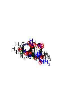 C=C(CCCCC(=O)ON1C(=O)CCC1=O)N[C@H](C(=O)N[C@@H](CCCNC(N)=O)C(=O)Nc1cc(Cl)c(C(=O)N(C)[C@@H](C)C(=O)O[C@H]2CC(=O)N(C)c3cc(cc(OC)c3Cl)C/C(C)=C/C=C/[C@@H](OC)[C@@]3(O)C[C@H](OC(=O)N3)[C@@H](C)[C@@H]3O[C@@]23C)cc1F)C(C)OC